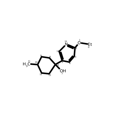 CCOc1ccc(C2(O)CCC(C)CC2)cn1